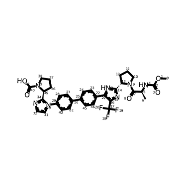 COC(=O)N[C@@H](C)C(=O)N1CCC[C@H]1c1nc(C(F)(F)F)c(-c2ccc(-c3ccc(-n4ccnc4[C@@H]4CCCN4C(=O)O)cc3)cc2)[nH]1